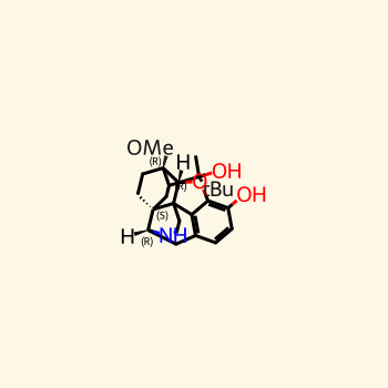 CO[C@]12CC[C@@]3(CC1C(C)(O)C(C)(C)C)[C@H]1Cc4ccc(O)c5c4C3(CCN1)[C@H]2O5